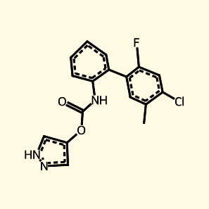 Cc1cc(-c2ccccc2NC(=O)Oc2cn[nH]c2)c(F)cc1Cl